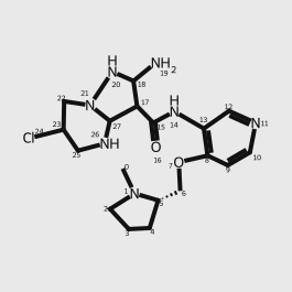 CN1CCC[C@H]1COc1ccncc1NC(=O)C1C(N)NN2CC(Cl)CNC12